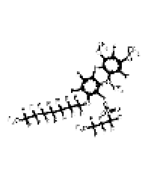 Fc1c(F)c([I+]c2c(OC(F)(F)F)c(F)c(OC(F)(F)F)c(F)c2OC(F)(F)F)c(F)c(F)c1OC(F)(F)C(F)(F)C(F)(F)C(F)(F)C(F)(F)C(F)(F)C(F)(F)C(F)(F)F.O=S(=O)([O-])C(F)(F)C(F)(F)C(F)(F)C(F)(F)F